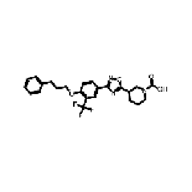 O=C(O)N1CCCC(c2nc(-c3ccc(OCCCc4ccccc4)c(C(F)(F)F)c3)no2)C1